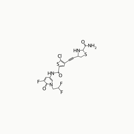 NC(=O)C1NC(C#Cc2cc(C(=O)Nc3cc(F)c(=O)n(CC(F)F)c3)sc2Cl)CS1